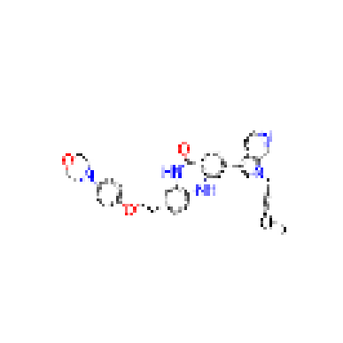 CC#CCn1cc(-c2ccc3c(c2)Nc2ccc(CCOc4ccc(N5CCOCC5)cc4)cc2NC3=O)c2ccncc21